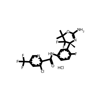 CC1(C)OC(N)=N[C@](C)(c2cc(NC(=O)c3ncc(C(F)(F)F)cc3Cl)ccc2F)C1(F)F.Cl